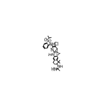 COc1cc2c(cc1Nc1ncc(Cl)c(Nc3ccccc3S(=O)(=O)C(C)C)n1)CCC(NC(C)=N)C2(C)C